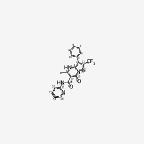 Cc1[nH]c2c(-c3ccccc3)c(C(F)(F)F)nn2c(=O)c1C(=O)Nc1cc#ccn1